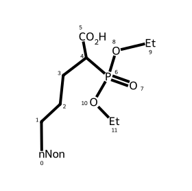 CCCCCCCCCCCCC(C(=O)O)P(=O)(OCC)OCC